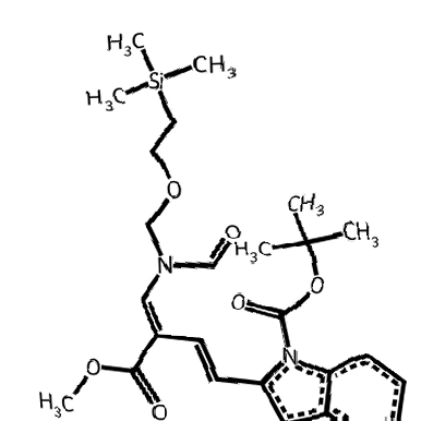 COC(=O)C(/C=C/c1cc2ccccc2n1C(=O)OC(C)(C)C)=C/N(C=O)COCC[Si](C)(C)C